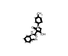 Cc1ccc(N2CC(O)=C(C(=O)Nc3ccccc3C(C)C)C2=O)cc1